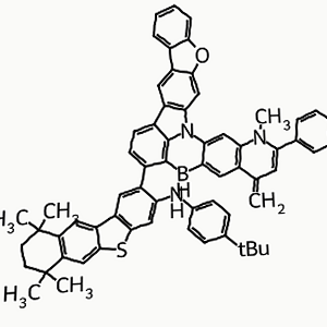 C=C1C=C(c2ccccc2)N(C)c2cc3c(cc21)Bc1c(-c2cc4c(cc2Nc2ccc(C(C)(C)C)cc2)sc2cc5c(cc24)C(C)(C)CCC5(C)C)ccc2c4cc5c(cc4n-3c12)oc1ccccc15